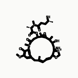 COc1cc2cc(c1Cl)N(C)C(=O)CC(OC(=O)[C@H](C)N(C)C(=O)CC[C@@H](C)S)C1(C)OC1C(C)C(O)CC1(N)OCOC1/C=C/C=C(\C)C2